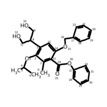 Cc1c(OC(C)C)c(C(CO)CO)cc(OCc2ccccc2)c1C(=O)Oc1ccccc1